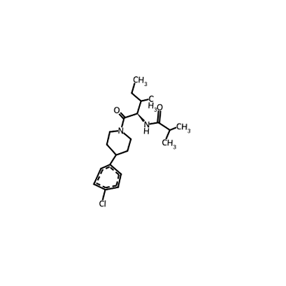 CCC(C)[C@@H](NC(=O)C(C)C)C(=O)N1CCC(c2ccc(Cl)cc2)CC1